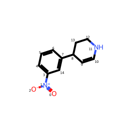 O=[N+]([O-])c1cccc(C2C=CNCC2)c1